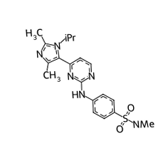 CNS(=O)(=O)c1ccc(Nc2nccc(-c3c(C)nc(C)n3C(C)C)n2)cc1